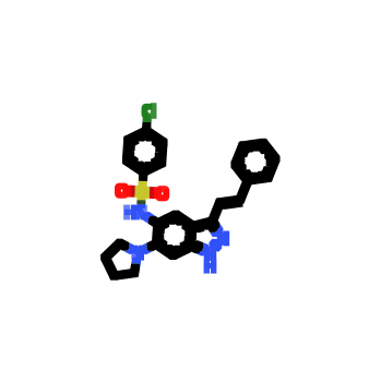 O=S(=O)(Nc1cc2c(C=Cc3ccccc3)n[nH]c2cc1N1CCCC1)c1ccc(Cl)cc1